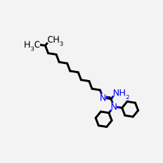 CC(C)CCCCCCCCCCN=C(N)N(C1CCCCC1)C1CCCCC1